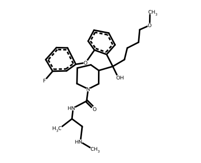 CNCC(C)NC(=O)N1CCCC(C(O)(CCCCOC)c2ccccc2Oc2cccc(F)c2)C1